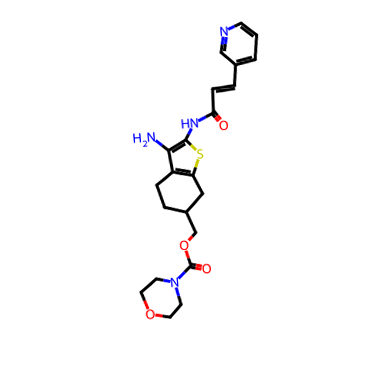 Nc1c(NC(=O)/C=C/c2cccnc2)sc2c1CCC(COC(=O)N1CCOCC1)C2